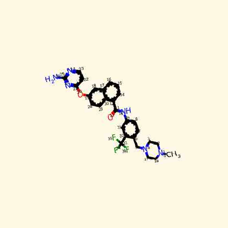 CN1CCN(Cc2ccc(NC(=O)c3cccc4cc(Oc5ccnc(N)n5)ccc34)cc2C(F)(F)F)CC1